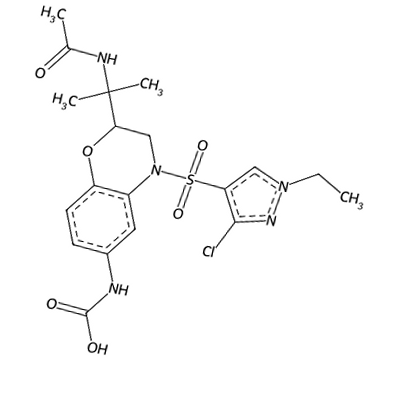 CCn1cc(S(=O)(=O)N2CC(C(C)(C)NC(C)=O)Oc3ccc(NC(=O)O)cc32)c(Cl)n1